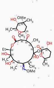 CC[C@H]1OC(=O)[C@H](C)[C@@H](O[C@H]2C[C@@](C)(OC)[C@@H](O)[C@H](C)O2)[C@H](C)[C@H](O[C@@H]2O[C@H](C)CC[C@H]2O)C(C)(O)C[C@@H](C)/C(=N\OC)[C@H](C)[C@@H](O)[C@]1(C)O